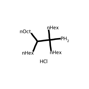 CCCCCCCCC(CCCCCC)C(P)(CCCCCC)CCCCCC.Cl